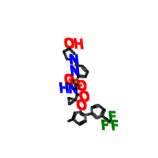 Cc1ccc(-c2cccc(C(F)(F)F)c2)c(OC2(C(=O)NS(=O)(=O)c3cccc(N4CC[C@H](O)C4)n3)CC2)c1